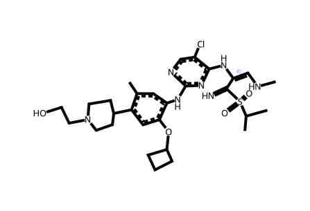 CN/C=C(/Nc1nc(Nc2cc(C)c(C3CCN(CCO)CC3)cc2OC2CCC2)ncc1Cl)C(=N)S(=O)(=O)C(C)C